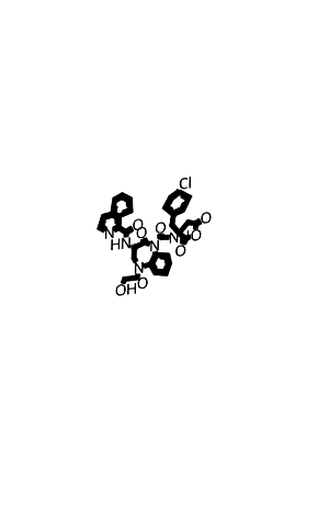 O=C1CC(Cc2ccc(Cl)cc2)(NC(=O)N2C(=O)[C@@H](NC(=O)c3nccc4ccccc34)CN(C(=O)CO)c3ccccc32)C(=O)O1